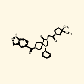 CC1(C)CCN(C(=O)CN2CN(c3ccccc3)C3(CCN(C(=O)c4ccc5[nH]ncc5c4)CC3)C2=O)C1